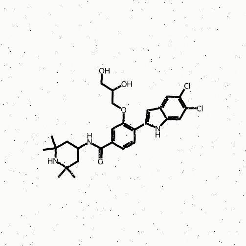 CC1(C)CC(NC(=O)c2ccc(-c3cc4cc(Cl)c(Cl)cc4[nH]3)c(OCC(O)CO)c2)CC(C)(C)N1